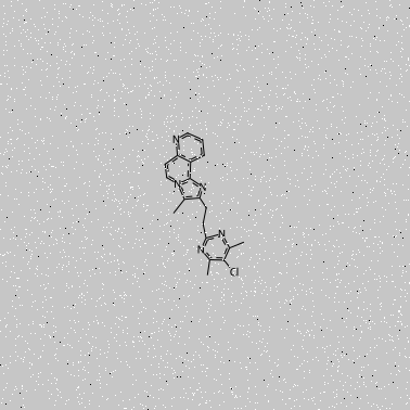 Cc1nc(CCc2nc3c4cccnc4ccn3c2C)nc(C)c1Cl